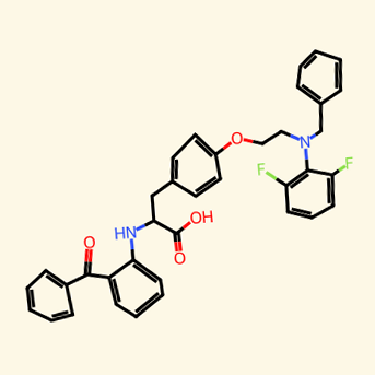 O=C(c1ccccc1)c1ccccc1NC(Cc1ccc(OCCN(Cc2ccccc2)c2c(F)cccc2F)cc1)C(=O)O